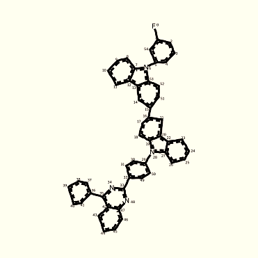 Fc1cccc(-n2c3ccccc3c3cc(-c4ccc5c(c4)c4ccccc4n5-c4ccc(-c5nc(-c6ccccc6)c6ccccc6n5)cc4)ccc32)c1